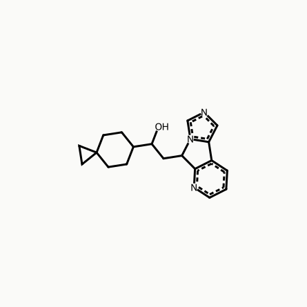 OC(CC1c2ncccc2-c2cncn21)C1CCC2(CC1)CC2